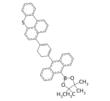 CC1(C)OB(c2c3ccccc3c(C3=CC=C(c4ccc5c6c(cccc46)-c4ccccc4S5)CC3)c3ccccc23)OC1(C)C